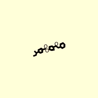 CCC(C)c1ccc(C(=O)Oc2ccc(C(=O)Cc3ccccc3)cc2)cc1